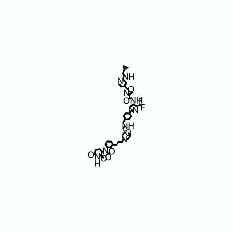 O=C1CCC(n2c(=O)oc3c(CCCN4CCO[C@@H](CNCc5ccc(-n6cc(NC(=O)c7coc(-c8ccnc(NCC9CC9)c8)n7)c(C(F)F)n6)cc5)C4)cccc32)C(=O)N1